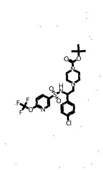 CC(C)(C)OC(=O)N1CCN(CC(NS(=O)(=O)c2ccc(OC(F)(F)F)nc2)c2ccc(Cl)cc2)CC1